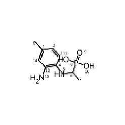 Cc1ccc(NC(C)P(=O)(O)O)c(N)c1